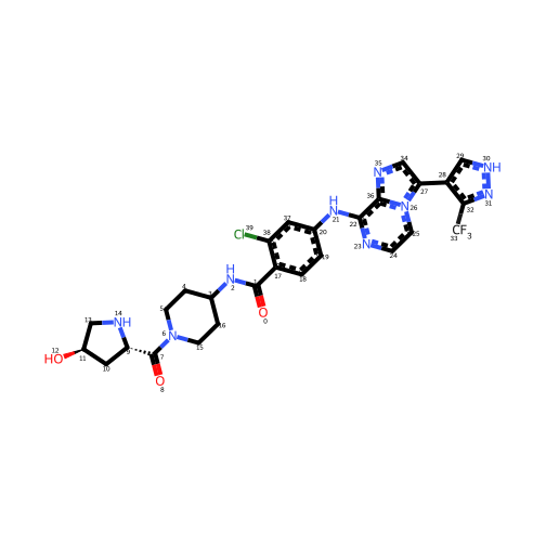 O=C(NC1CCN(C(=O)[C@@H]2C[C@@H](O)CN2)CC1)c1ccc(Nc2nccn3c(-c4c[nH]nc4C(F)(F)F)cnc23)cc1Cl